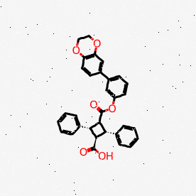 O=C(Oc1cccc(-c2ccc3c(c2)OCCO3)c1)C1[C@@H](c2ccccc2)[C@H](C(=O)O)[C@H]1c1ccccc1